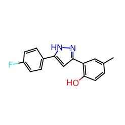 Cc1ccc(O)c(-c2cc(-c3ccc(F)cc3)[nH]n2)c1